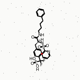 O=C(NCCCCc1ccccc1)[C@H](Cc1ccc(C(F)(F)P(=O)(O)O)cc1)NS(=O)(=O)c1ccccn1